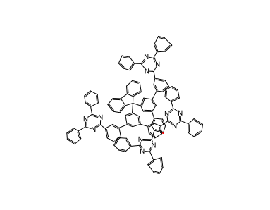 c1ccc(-c2nc(-c3ccccc3)nc(-c3cccc(-c4cc(-c5cccc(-c6nc(-c7ccccc7)nc(-c7ccccc7)n6)c5)cc(C5(c6cc(-c7cccc(-c8nc(-c9ccccc9)nc(-c9ccccc9)n8)c7)cc(-c7cccc(-c8nc(-c9ccccc9)nc(-c9ccccc9)n8)c7)c6)c6ccccc6-c6ccccc65)c4)c3)n2)cc1